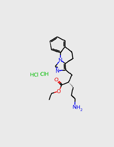 CCOC(=O)[C@@H](CCCN)Cc1ncn2c1CCc1ccccc1-2.Cl.Cl